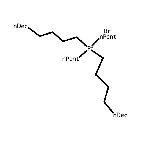 CCCCCCCCCCCCCC[P+](CCCCC)(CCCCC)CCCCCCCCCCCCCC.[Br-]